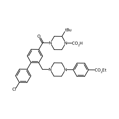 CCOC(=O)c1ccc(N2CCN(Cc3cc(C(=O)N4CCN(C(=O)O)C(C(C)(C)C)C4)ccc3-c3ccc(Cl)cc3)CC2)cc1